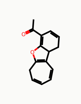 CC(=O)C1=C2OC3=C(C=CC=CC3)C2CC=C1